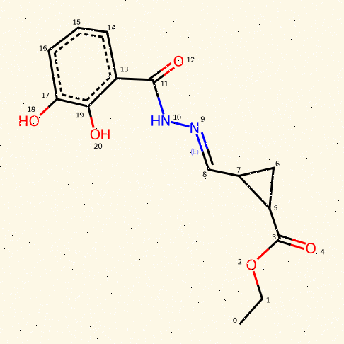 CCOC(=O)C1CC1/C=N/NC(=O)c1cccc(O)c1O